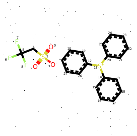 O=S(=O)([O-])CC(F)(F)F.c1ccc([S+](c2ccccc2)c2ccccc2)cc1